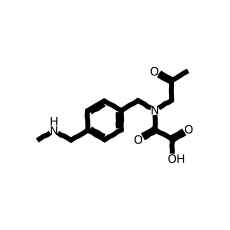 CNCc1ccc(CN(CC(C)=O)C(=O)C(=O)O)cc1